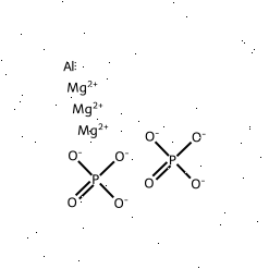 O=P([O-])([O-])[O-].O=P([O-])([O-])[O-].[Al].[Mg+2].[Mg+2].[Mg+2]